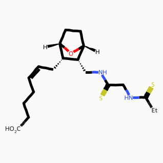 CCC(=S)NCC(=S)NC[C@@H]1[C@H](C/C=C\CCCC(=O)O)[C@@H]2CC[C@H]1O2